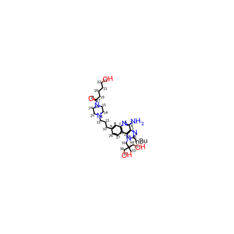 CCCCc1nc2c(N)nc3cc(CCCN4CCN(C(=O)CCCCO)CC4)ccc3c2n1CC(C)(CO)CO